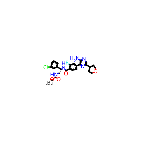 CC(C)(C)OC(=O)NC[C@@H](NC(=O)c1ccc(-c2nc(C3CCOCC3)cnc2N)cc1F)c1cccc(Cl)c1